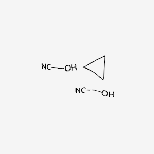 C1CC1.N#CO.N#CO